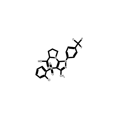 Cc1nn(-c2ccc(C(F)(F)F)cc2)c(N2CCCC2C(=O)O)c1S(=O)(=O)c1ccccc1Cl